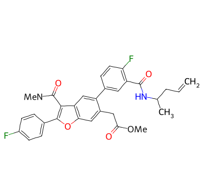 C=CCC(C)NC(=O)c1cc(-c2cc3c(C(=O)NC)c(-c4ccc(F)cc4)oc3cc2CC(=O)OC)ccc1F